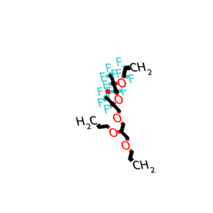 C=CCOCC(COCC(F)(OC(F)(F)C(F)(OC(F)(F)C(=C)F)C(F)(F)F)C(F)(F)F)OCC=C